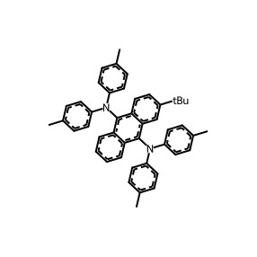 Cc1ccc(N(c2ccc(C)cc2)c2c3ccccc3c(N(c3ccc(C)cc3)c3ccc(C)cc3)c3cc(C(C)(C)C)ccc23)cc1